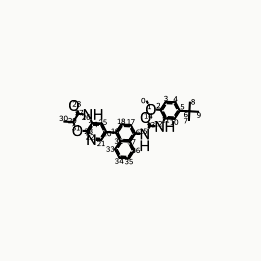 COc1ccc(C(C)(C)C)cc1NC(=O)Nc1ccc(-c2cnc3c(c2)NC(=O)C(C)O3)c2ccccc12